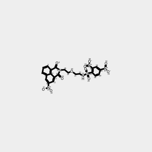 O=C1c2cccc3cc([N+](=O)[O-])cc(c23)C(=O)N1CCOCCNS(=O)(=O)c1ccc([N+](=O)[O-])cc1[N+](=O)[O-]